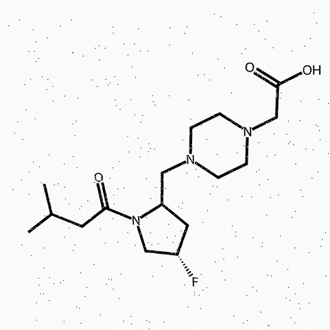 CC(C)CC(=O)N1C[C@@H](F)CC1CN1CCN(CC(=O)O)CC1